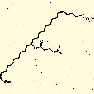 CCCCC/C=C\CCCCCCCCC(CCCCCCCC/C=C\CCCCC(=O)OCC)OC(=O)CCCN(C)C